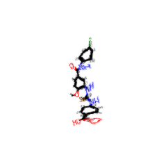 COc1ccc(C(=O)Nc2ccc(F)cc2)cc1NC(=S)Nc1ccc(C(=O)O)cc1